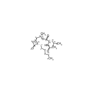 CCCCCC[C@@H]1C(=O)O[C@H]1C[C@H](C)OC(=O)[C@H](CC(C)C)NC=O